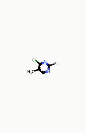 CC(=O)c1ncc(C)c(Cl)n1